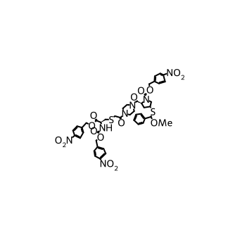 COC(S[C@H]1C[C@@H](C(=O)N2CCN(C(=O)CSC[C@@H](NC(=O)OCc3ccc([N+](=O)[O-])cc3)C(=O)OCc3ccc([N+](=O)[O-])cc3)CC2)N(C(=O)OCc2ccc([N+](=O)[O-])cc2)C1)c1ccccc1